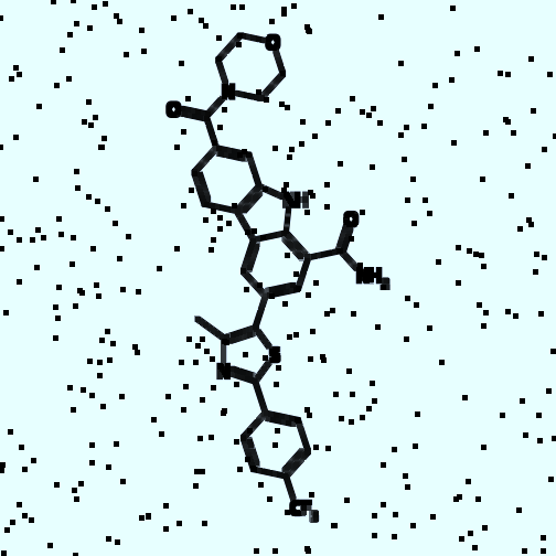 Cc1nc(-c2ccc(C(F)(F)F)cc2)sc1-c1cc(C(N)=O)c2[nH]c3cc(C(=O)N4CCOCC4)ccc3c2c1